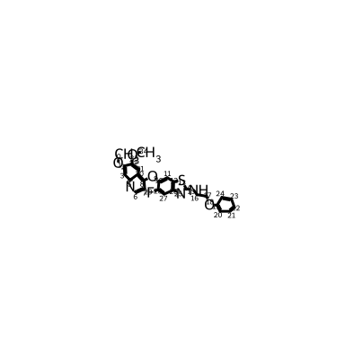 COc1cc2nccc(Oc3cc4sc(NCCOc5ccccc5)nc4cc3F)c2cc1OC